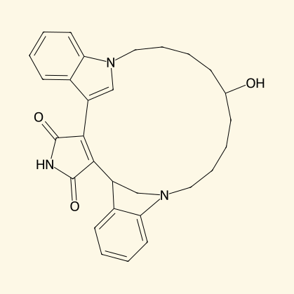 O=C1NC(=O)C2=C1c1cn(c3ccccc13)CCCCC(O)CCCCN1CC2c2ccccc21